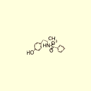 C[C@@H](Cc1ccc(O)cc1)NS(=O)(=O)c1ccccc1